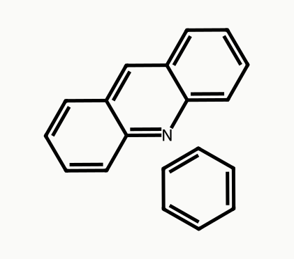 c1ccc2nc3ccccc3cc2c1.c1ccccc1